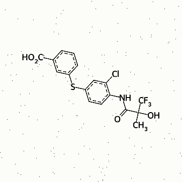 CC(O)(C(=O)Nc1ccc(Sc2cccc(C(=O)O)c2)cc1Cl)C(F)(F)F